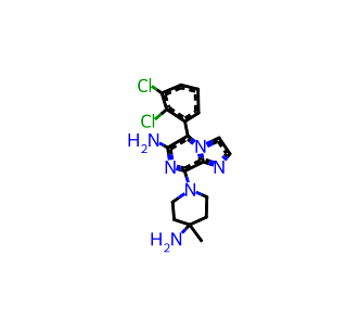 CC1(N)CCN(c2nc(N)c(-c3cccc(Cl)c3Cl)n3ccnc23)CC1